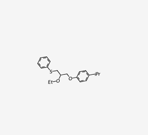 CCOC(COc1ccc(C(C)C)cc1)CSc1ccccc1